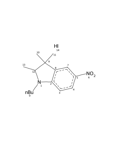 CCCCN1c2ccc([N+](=O)[O-])cc2C(C)(C)C1C.I